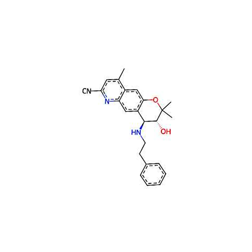 [C-]#[N+]c1cc(C)c2cc3c(cc2n1)[C@H](NCCc1ccccc1)[C@@H](O)C(C)(C)O3